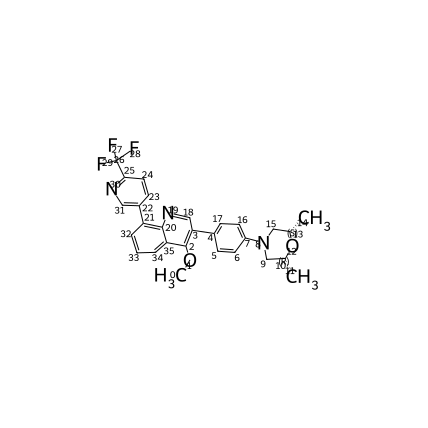 COc1c(-c2ccc(N3C[C@@H](C)O[C@@H](C)C3)cc2)cnc2c(-c3ccc(C(F)(F)F)nc3)cccc12